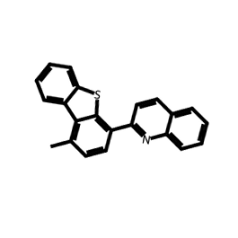 Cc1ccc(-c2ccc3ccccc3n2)c2sc3ccccc3c12